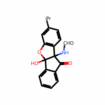 CC(C)c1ccc2c(c1)OC1(O)c3ccccc3C(=O)C21NC=O